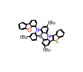 CC(C)(C)c1ccc2c(c1)N(c1cccc3c1oc1ccccc13)c1cc(C(C)(C)C)cc3c1B2c1cc(C(C)(C)C)cc2c4sc5ccccc5c4n-3c12